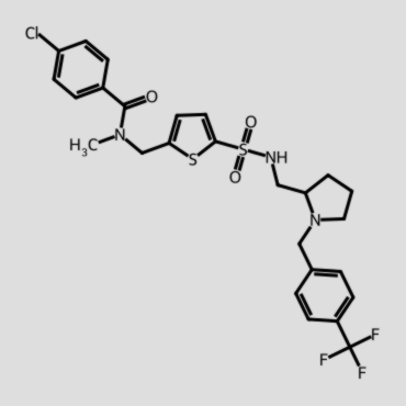 CN(Cc1ccc(S(=O)(=O)NCC2CCCN2Cc2ccc(C(F)(F)F)cc2)s1)C(=O)c1ccc(Cl)cc1